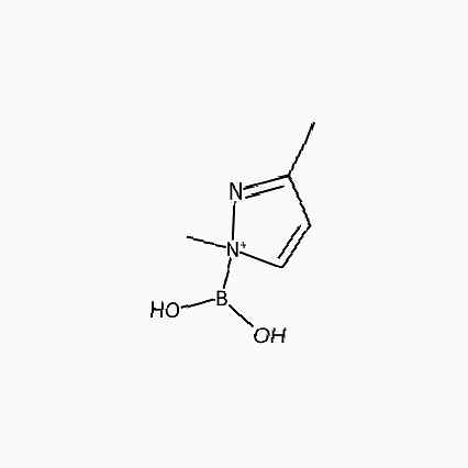 CC1=N[N+](C)(B(O)O)C=C1